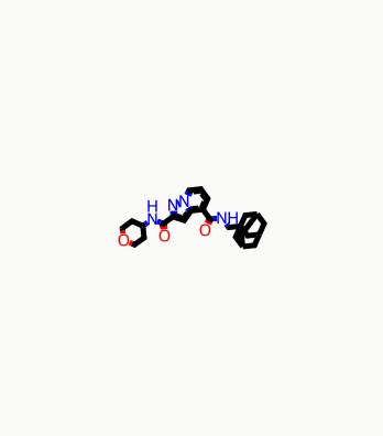 O=C(NC1CCOCC1)c1cc2c(C(=O)NCC34CC5CC(CC(C5)C3)C4)cccn2n1